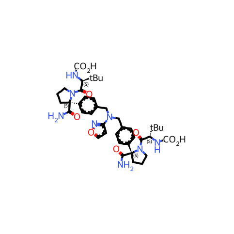 CC(C)(C)[C@H](NC(=O)O)C(=O)N1CCC[C@@]1(C(N)=O)c1ccc(CN(Cc2ccc([C@]3(C(N)=O)CCCN3C(=O)[C@@H](NC(=O)O)C(C)(C)C)cc2)c2ccon2)cc1